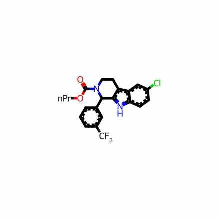 CCCOC(=O)N1CCc2c([nH]c3ccc(Cl)cc23)C1c1cccc(C(F)(F)F)c1